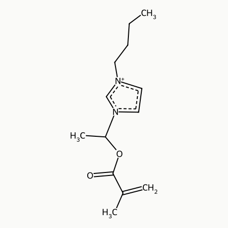 C=C(C)C(=O)OC(C)n1cc[n+](CCCC)c1